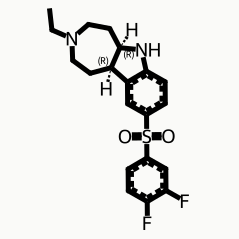 CCN1CC[C@@H]2c3cc(S(=O)(=O)c4ccc(F)c(F)c4)ccc3N[C@@H]2CC1